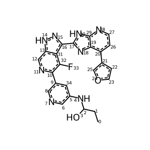 CCC(O)Nc1cncc(-c2ncc3[nH]nc(-c4nc5c(-c6ccoc6)ccnc5[nH]4)c3c2F)c1